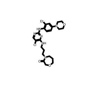 CCc1cc(N2CCOCC2)ccc1Nc1ncc(Cl)c(NCCCN2CCCOCC2=O)n1